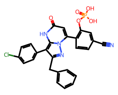 N#Cc1ccc(-c2cc(=O)[nH]c3c(-c4ccc(Cl)cc4)c(Cc4ccccc4)nn23)c(OP(=O)(O)O)c1